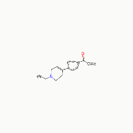 COC(=O)c1ccc(C2=CCN(C[C](C)C)CC2)cc1